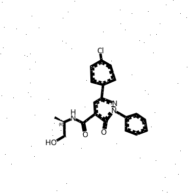 C[C@H](CO)NC(=O)c1cc(-c2ccc(Cl)cc2)nn(-c2ccccc2)c1=O